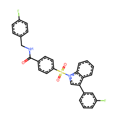 O=C(NCc1ccc(F)cc1)c1ccc(S(=O)(=O)n2cc(-c3cccc(F)c3)c3ccccc32)cc1